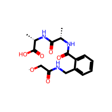 C[C@H](NC(=O)[C@H](C)NC(=O)c1ccccc1CNC(=O)C[O])C(=O)O